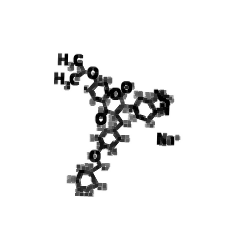 CC(C)Oc1ccc(C(=O)C(Cc2ccc(OCc3ccccc3)cc2)=C(C(=O)[O-])c2ccc3nsnc3c2)cc1.[Na+]